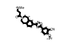 CNCCC(=O)N1CCc2ccc(-c3noc(-c4ccc(OC(C)C)c(C#N)c4)n3)cc2CC1